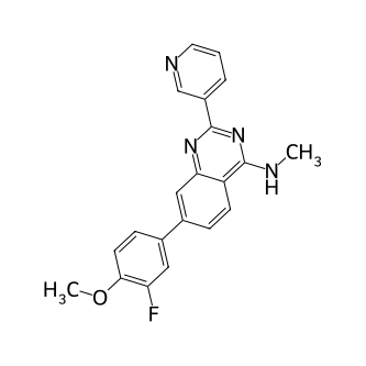 CNc1nc(-c2cccnc2)nc2cc(-c3ccc(OC)c(F)c3)ccc12